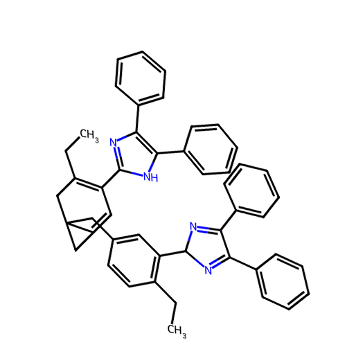 CCC1=C(c2nc(-c3ccccc3)c(-c3ccccc3)[nH]2)C=C2CC2(Cc2ccc(CC)c(C3N=C(c4ccccc4)C(c4ccccc4)=N3)c2)C1